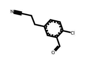 N#CCCc1ccc(Cl)c(C=O)c1